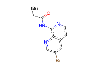 CC(C)(C)CC(=O)Nc1nccc2cc(Br)cnc12